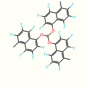 Cc1c(F)c(F)c(F)c2c(OB(Oc3c(F)c(F)c(F)c4c(C)c(F)c(F)c(F)c34)Oc3c(F)c(F)c(F)c4c(C)c(F)c(F)c(F)c34)c(F)c(F)c(F)c12